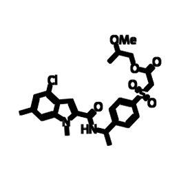 COC(C)COC(=O)CS(=O)(=O)c1ccc(C(C)NC(=O)c2cc3c(Cl)cc(C)cc3n2C)cc1